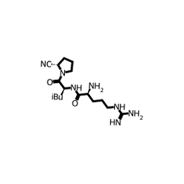 CCC(C)[C@H](NC(=O)[C@@H](N)CCCNC(=N)N)C(=O)N1CCC[C@H]1C#N